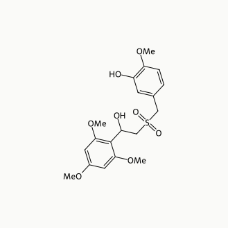 COc1cc(OC)c(C(O)CS(=O)(=O)Cc2ccc(OC)c(O)c2)c(OC)c1